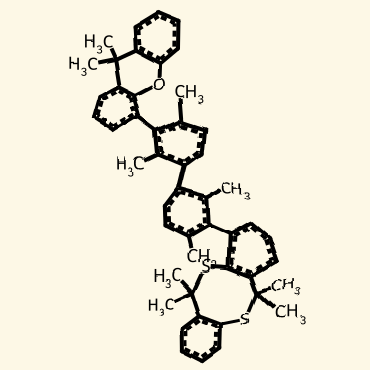 Cc1ccc(-c2ccc(C)c(-c3cccc4c3SC(C)(C)c3ccccc3SC4(C)C)c2C)c(C)c1-c1cccc2c1Oc1ccccc1C2(C)C